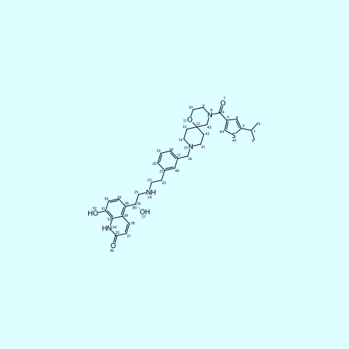 CC(C)c1cc(C(=O)N2CCOC3(CCN(Cc4cccc(CCNC[C@H](O)c5ccc(O)c6[nH]c(=O)ccc56)c4)CC3)C2)cs1